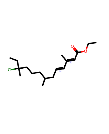 CCOC(=O)/C=C(C)/C=C/CC(C)CCCC(C)(Cl)CC